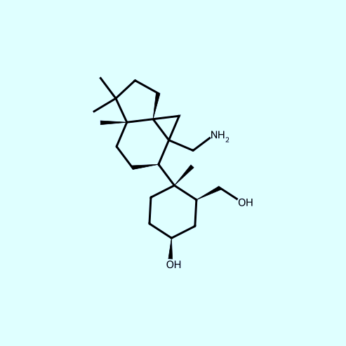 CC1(C)CC[C@@]23CC2(CN)[C@@H]([C@@]2(C)CC[C@H](O)C[C@@H]2CO)CC[C@]13C